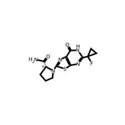 NC(=O)[C@H]1CCCN1c1nc2c(=O)[nH]c(C3(F)CC3)nc2s1